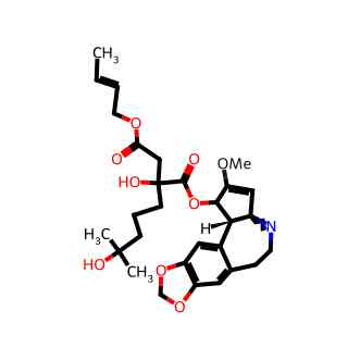 C/C=C/COC(=O)CC(O)(CCCC(C)(C)O)C(=O)OC1C(OC)=CC23CCCN2CCc2cc4c(cc2[C@H]13)OCO4